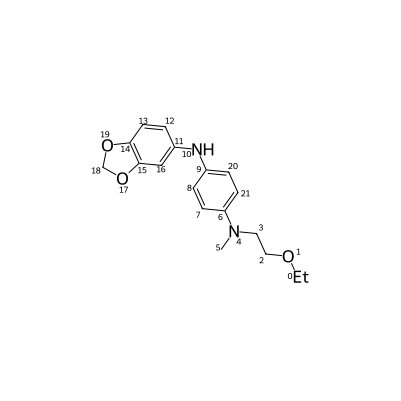 CCOCCN(C)c1ccc(Nc2ccc3c(c2)OCO3)cc1